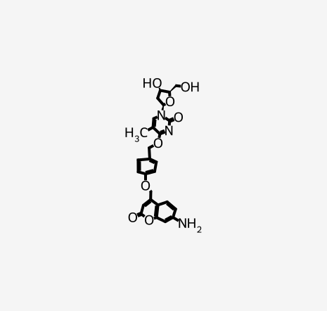 Cc1cn([C@H]2C[C@H](O)[C@@H](CO)O2)c(=O)nc1OCc1ccc(OCc2cc(=O)oc3cc(N)ccc23)cc1